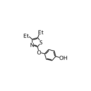 CCc1nc(Oc2ccc(O)cc2)sc1CC